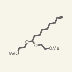 C=CCCCCCCC(OCCOC)OCCOC